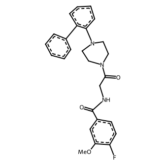 COc1cc(C(=O)NCC(=O)N2CCN(c3ccccc3-c3ccccc3)CC2)ccc1F